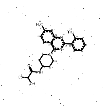 CCC(O)C(=O)NC1CCN(c2nc(-c3ccccc3O)nc3cc(C)ccc23)CC1